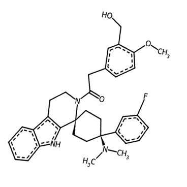 COc1ccc(CC(=O)N2CCc3c4ccccc4[nH]c3[C@]23CC[C@](c2cccc(F)c2)(N(C)C)CC3)cc1CO